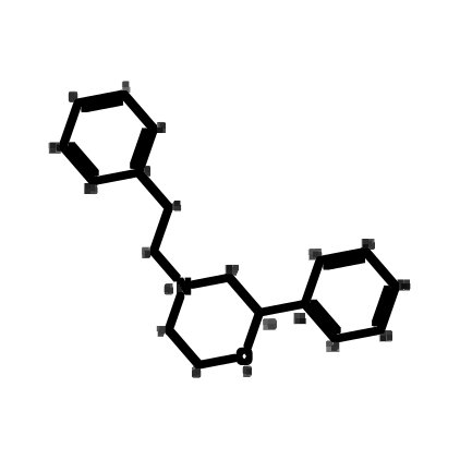 c1ccc(CCN2CCOC(c3ccccc3)C2)cc1